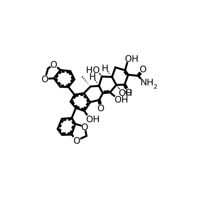 C[C@H]1c2c(-c3ccc4c(c3)OCO4)cc(-c3cccc4c3OCO4)c(O)c2C(=O)C2=C(O)[C@]3(O)C(=O)C(C(N)=O)=C(O)C[C@@H]3[C@@H](O)[C@@H]21